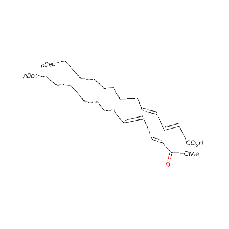 CCCCCCCCCCCCCCCCCC=CC=CC(=O)O.CCCCCCCCCCCCCCCCCC=CC=CC(=O)OC